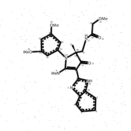 CNC1=C(c2nc3ccccc3[nH]2)C(=O)[C@@](C)(CNC(=O)COC)N1c1cc(OC)cc(OC)c1